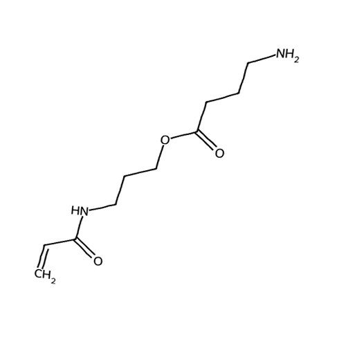 C=CC(=O)NCCCOC(=O)CCCN